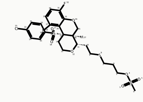 CS(=O)(=O)OCCCSCC[C@@H]1OCC[C@@]2(S(=O)(=O)c3ccc(Cl)cc3)c3c(F)ccc(F)c3OC[C@@H]12